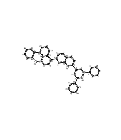 c1ccc(-c2cc(-c3ccc4ccc(-c5ccc6c7c(cccc57)-c5ccccc5O6)nc4n3)cc(-c3ccccc3)n2)cc1